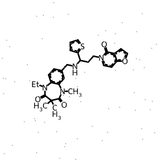 CCN1C(=O)C(C)(C)C(=O)N(C)c2cc(CNC(CCn3ccc4occc4c3=O)c3cccs3)ccc21